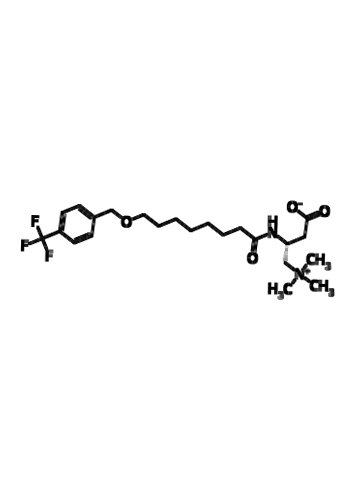 C[N+](C)(C)C[C@@H](CC(=O)[O-])NC(=O)CCCCCCCOCc1ccc(C(F)(F)F)cc1